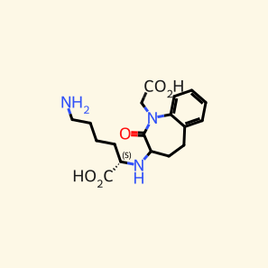 NCCCC[C@H](NC1CCc2ccccc2N(CC(=O)O)C1=O)C(=O)O